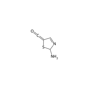 NC1N=CC(=C=O)S1